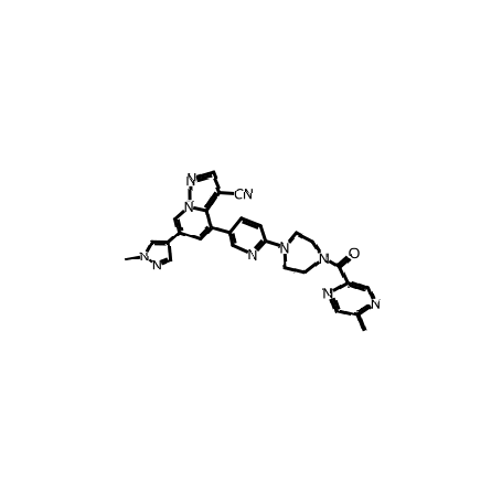 Cc1cnc(C(=O)N2CCN(c3ccc(-c4cc(-c5cnn(C)c5)cn5ncc(C#N)c45)cn3)CC2)cn1